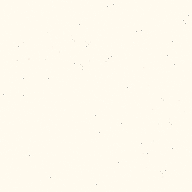 Oc1c(Cl)cc(-c2cnc(OCc3ccc(CN4CCN(Cc5cccnc5)CC4)cc3)nn2)cc1Cl